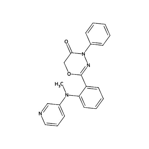 CN(c1cccnc1)c1ccccc1C1=NN(c2ccccc2)C(=O)CO1